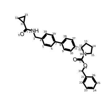 O=C(NCc1ccc(-c2ccc([C@@H]3CCCN3C(=O)OCc3ccccc3)cc2)cc1)C1CC1